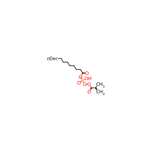 C=C(C)C(=O)OOP(=O)(O)OC(=O)CCCCCCCCCCCCCCCCC